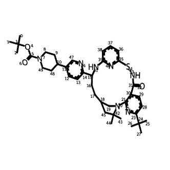 CC(C)(C)OC(=O)N1CCC(c2ccc(C3CCC4CN(c5nc(C(C)(C)C)ccc5C(=O)NSc5cccc(n5)N3)C(C)(C)C4)nc2)CC1